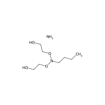 CCCCN(OCCO)OCCO.N